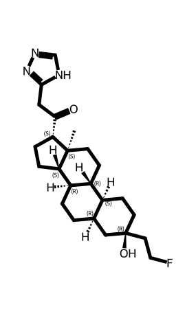 C[C@]12CC[C@H]3[C@@H](CC[C@@H]4C[C@@](O)(CCF)CC[C@@H]43)[C@@H]1CC[C@@H]2C(=O)Cc1nnc[nH]1